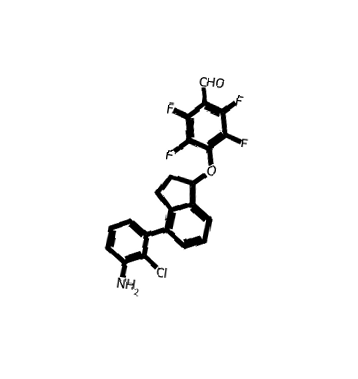 Nc1cccc(-c2cccc3c2CCC3Oc2c(F)c(F)c(C=O)c(F)c2F)c1Cl